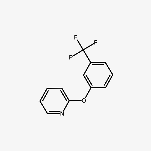 FC(F)(F)c1cccc(Oc2cc[c]cn2)c1